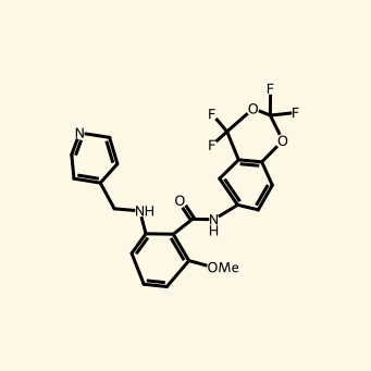 COc1cccc(NCc2ccncc2)c1C(=O)Nc1ccc2c(c1)C(F)(F)OC(F)(F)O2